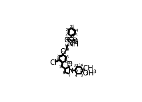 CC1(O)CCC(N2CCC(Cc3ccc(OCCNS(=O)(=O)c4ccccc4)cc3Cl)C2=O)CC1